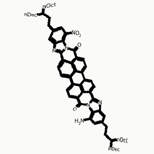 CCCCCCCCCCC(CCCCCCCC)CCc1cc(N)c2c(c1)nc1c3ccc4c5ccc6c(=O)n7c(nc8cc(CCC(CCCCCCCC)CCCCCCCCCC)cc([N+](=O)[O-])c87)c7ccc(c8ccc(c(=O)n12)c3c48)c5c67